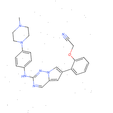 CN1CCN(c2ccc(Nc3ncc4cc(-c5ccccc5OCC#N)cn4n3)cc2)CC1